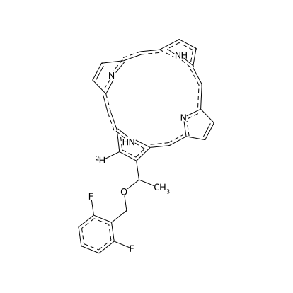 [2H]c1c(C(C)OCc2c(F)cccc2F)c2cc3nc(cc4ccc(cc5nc(cc1[nH]2)C=C5)[nH]4)C=C3